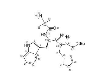 CC(C)(C)Sc1nnc([C@@H](Cc2c[nH]c3ccccc23)NC(=O)C(C)(C)N)n1Cc1ccoc1